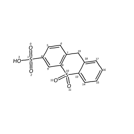 O=S(=O)(O)c1ccc2c(c1)S(=O)(=O)c1ccccc1C2